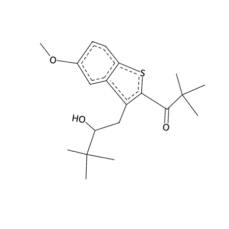 COc1ccc2sc(C(=O)C(C)(C)C)c(CC(O)C(C)(C)C)c2c1